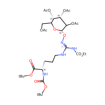 CCOC(=O)N/C(=N\O[C@@H]1OC(COC(C)=O)[C@H](OC(C)=O)[C@H](OC(C)=O)C1OC(C)=O)NCCC[C@H](NC(=O)OC(C)(C)C)C(=O)OC(C)(C)C